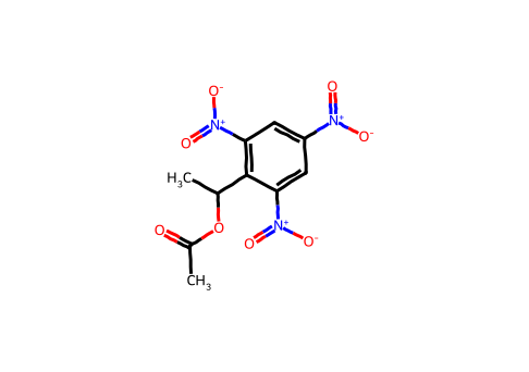 CC(=O)OC(C)c1c([N+](=O)[O-])cc([N+](=O)[O-])cc1[N+](=O)[O-]